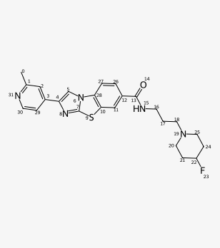 Cc1cc(-c2cn3c(n2)sc2cc(C(=O)NCCCN4CCC(F)CC4)ccc23)ccn1